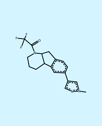 Cn1cc(-c2ccc3c(c2)C2CCCN(C(=O)C(F)(F)F)C2C3)cn1